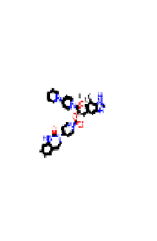 Cc1cc(C[C@@H](OC(=O)N2CCC(N3CCc4ccccc4NC3=O)CC2)C(=O)N2CCC(N3CCCCC3)CC2)cc2nc[nH]c12